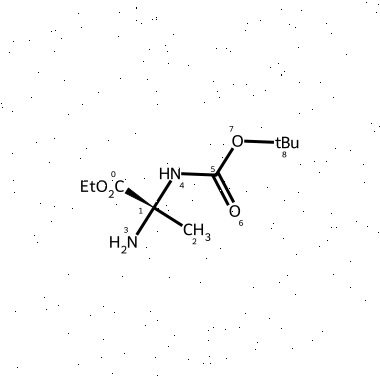 CCOC(=O)[C@@](C)(N)NC(=O)OC(C)(C)C